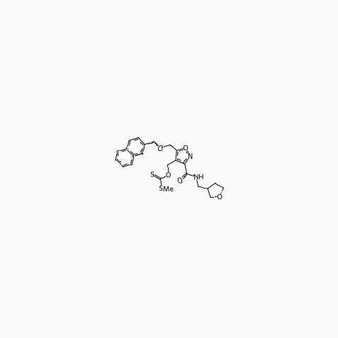 CSC(=S)OCc1c(C(=O)NCC2CCOC2)noc1COCc1ccc2ccccc2c1